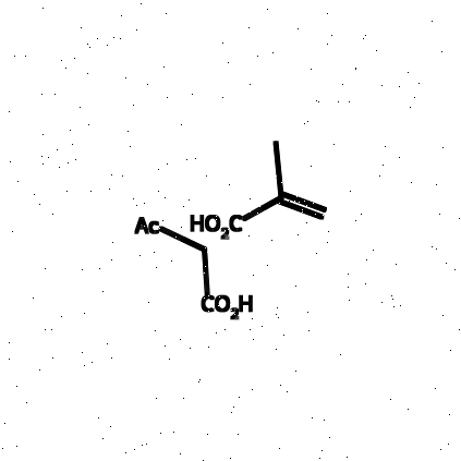 C=C(C)C(=O)O.CC(=O)CC(=O)O